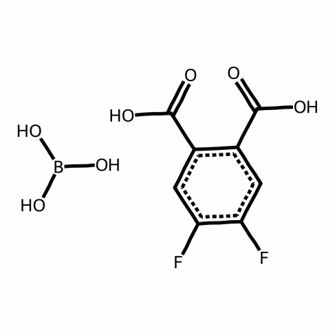 O=C(O)c1cc(F)c(F)cc1C(=O)O.OB(O)O